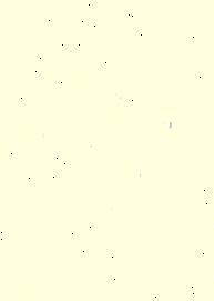 O=CCN1CCNCCNCCN(CC(=O)O)CC1